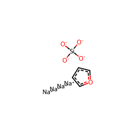 [Na+].[Na+].[Na+].[Na+].[O-][Si]([O-])([O-])[O-].c1ccoc1